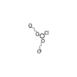 Clc1cc(OCCCC2CO2)cc(OCCCC2CO2)c1